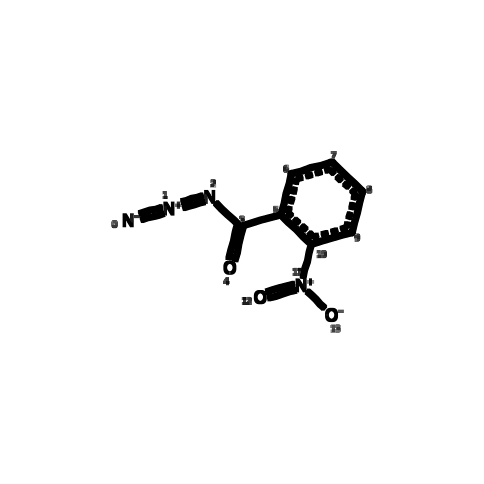 [N-]=[N+]=NC(=O)c1ccccc1[N+](=O)[O-]